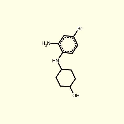 Nc1cc(Br)ccc1NC1CCC(O)CC1